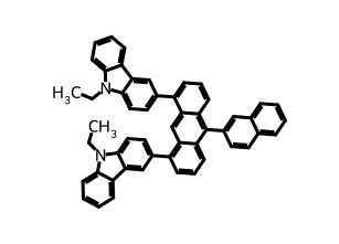 CCn1c2ccccc2c2cc(-c3cccc4c(-c5ccc6ccccc6c5)c5cccc(-c6ccc7c(c6)c6ccccc6n7CC)c5cc34)ccc21